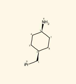 CC(C)C[C@H]1CC[C@@H](N)CC1